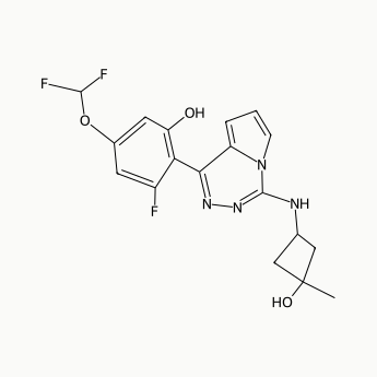 CC1(O)CC(Nc2nnc(-c3c(O)cc(OC(F)F)cc3F)c3cccn23)C1